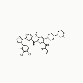 C=CC(=O)Nc1cc(Nc2cc(N3OCCC3c3ccc(Cl)c(Cl)c3F)ncn2)c(OC)cc1N1CCC(N2C[C@@H](C)O[C@@H](C)C2)CC1